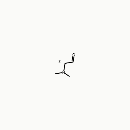 CN(C)CC=O.[Zr]